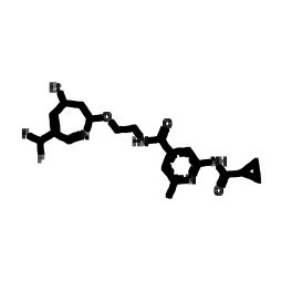 CCC1C=C(C(F)F)C=NC(OCCNC(=O)c2cc(C)nc(NC(=O)C3CC3)c2)C1